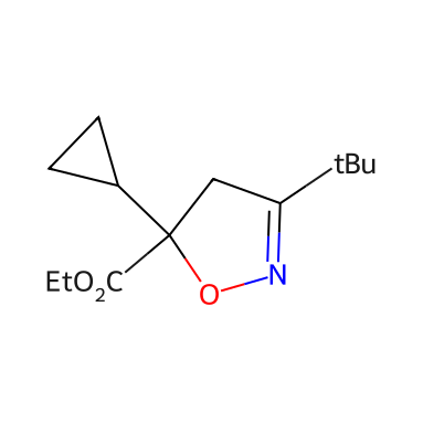 CCOC(=O)C1(C2CC2)CC(C(C)(C)C)=NO1